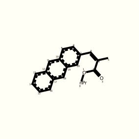 CCCOC(=O)C(C)=Cc1ccc2cc3ccccc3cc2c1